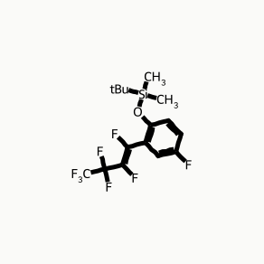 CC(C)(C)[Si](C)(C)Oc1ccc(F)cc1C(F)=C(F)C(F)(F)C(F)(F)F